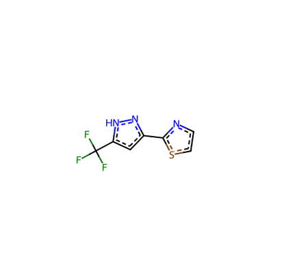 FC(F)(F)c1cc(-c2nccs2)n[nH]1